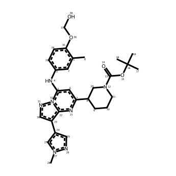 Cc1cc(Nc2cc(C3CCCN(C(=O)OC(C)(C)C)C3)nc3c(-c4cnn(C)c4)cnn23)ccc1OCO